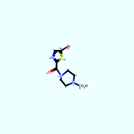 O=C(O)N1CCN(C(=O)c2ncc(Br)s2)CC1